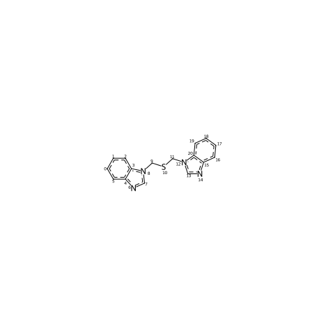 c1ccc2c(c1)ncn2CSCn1cnc2ccccc21